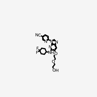 N#Cc1ccc(-n2cnc3cc(OCCOCCO)c(NC4CCC(F)(F)CC4)nc32)nc1